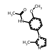 COc1ccc(-n2ccnc2C)cc1NC(C)=O